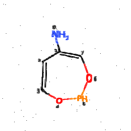 Nc1cco[pH]oc1